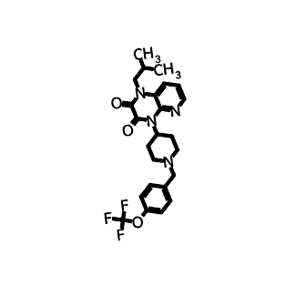 CC(C)Cn1c(=O)c(=O)n(C2CCN(Cc3ccc(OC(F)(F)F)cc3)CC2)c2ncccc21